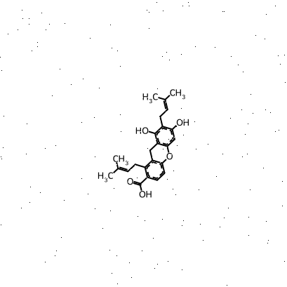 CC(C)=CCc1c(O)cc2c(c1O)Cc1c(ccc(C(=O)O)c1CC=C(C)C)O2